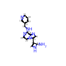 N[C@@H]1NC=C1c1cnc2c(NCc3cccnc3)nccn12